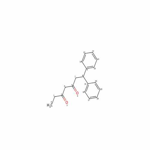 CCC(=O)CC(=O)CC(c1ccccc1)c1ccccc1